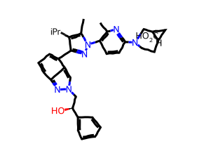 Cc1nc(N2CC[C@]3(C(=O)O)C[C@@H]3C2)ccc1-n1nc(-c2cccc3nn(C[C@H](O)c4ccccc4)cc23)c(C(C)C)c1C